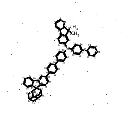 CC1(C)c2ccccc2-c2ccc(N(c3ccc(-c4ccccc4)cc3)c3ccc(-c4ccc(-c5ccc6c(c5)-c5ccccc5C65C6CC7CC(C6)CC5C7)cc4)cc3)cc21